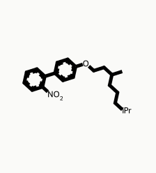 CC(C)CCCC(C)CCOc1ccc(-c2ccccc2[N+](=O)[O-])cc1